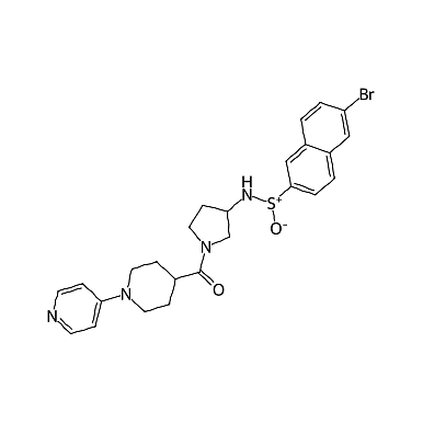 O=C(C1CCN(c2ccncc2)CC1)N1CCC(N[S+]([O-])c2ccc3cc(Br)ccc3c2)C1